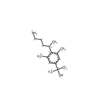 Cc1cc(C(O)(C(F)(F)F)C(F)(F)F)cc(C)c1N(C)CCCN